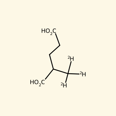 [2H]C([2H])([2H])C(CCC(=O)O)C(=O)O